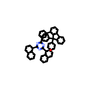 c1ccc(C2(c3ccccc3)c3ccccc3-c3cccc(-c4cccc(-c5nc(-c6cccc7ccccc67)nc(-c6cccc7ccccc67)n5)c4)c32)cc1